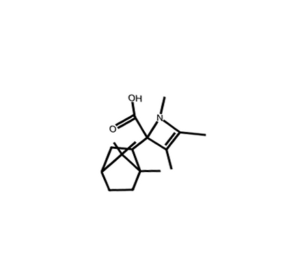 CC1=C(C)C(C(=O)O)(C2CC3CCC2(C)C3(C)C)N1C